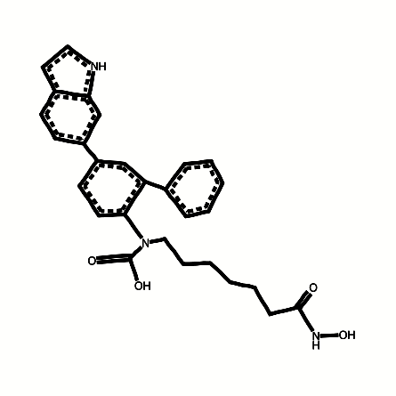 O=C(CCCCCCN(C(=O)O)c1ccc(-c2ccc3cc[nH]c3c2)cc1-c1ccccc1)NO